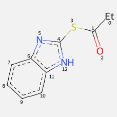 CCC(=O)Sc1nc2ccccc2[nH]1